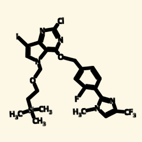 Cn1cc(C(F)(F)F)nc1-c1ccc(COc2nc(Cl)nc3c(I)cn(COCC[Si](C)(C)C)c23)cc1F